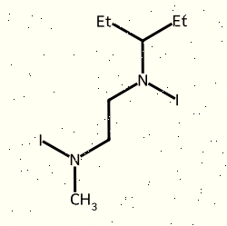 CCC(CC)N(I)CCN(C)I